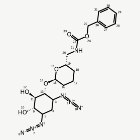 [N-]=[N+]=NC1CC(N=[N+]=[N-])[C@H](O)[C@@H](O)[C@@H]1O[C@@H]1CCC[C@@H](CNC(=O)OCc2ccccc2)O1